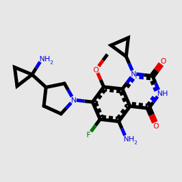 COc1c(N2CCC(C3(N)CC3)C2)c(F)c(N)c2c(=O)[nH]c(=O)n(C3CC3)c12